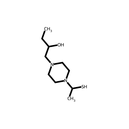 CCC(O)CN1CCN(C(C)S)CC1